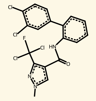 Cn1cc(C(=O)Nc2ccccc2-c2ccc(Cl)c(Cl)c2)c(C(F)(Cl)Cl)n1